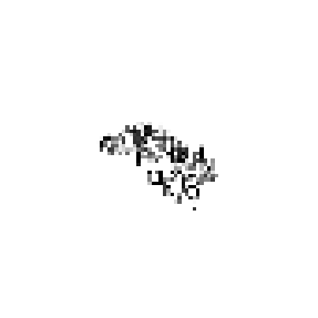 COc1cnc(Cl)cc1-c1cc(C)ncc1C(=O)Nc1ccc2c(n1)CC[SH](C1(O)CCC3(CC1)COC3)C2